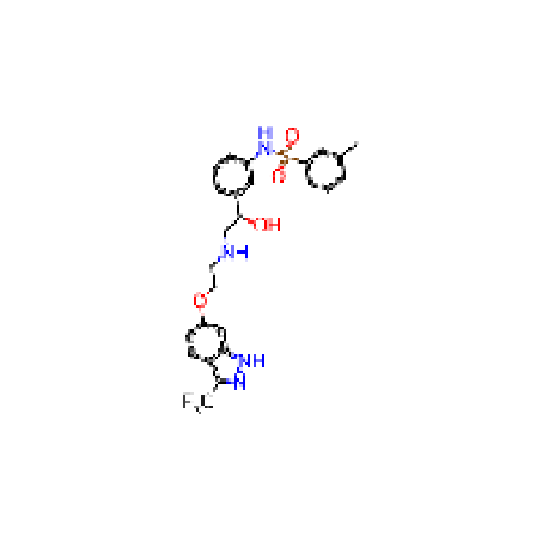 Cc1cccc(S(=O)(=O)Nc2cccc([C@@H](O)CNCCOc3ccc4c(C(F)(F)F)n[nH]c4c3)c2)c1